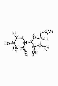 COC[C@@]1(F)O[C@@H](n2cc(F)c(=O)[nH]c2=O)[C@H](O)[C@@H]1O